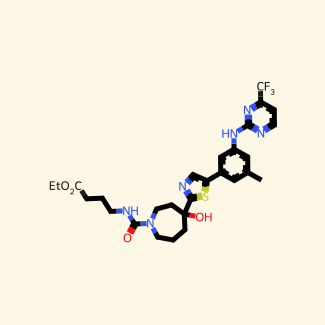 CCOC(=O)CCCNC(=O)N1CCCC(O)(c2ncc(-c3cc(C)cc(Nc4nccc(C(F)(F)F)n4)c3)s2)CC1